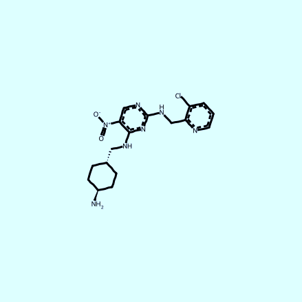 N[C@H]1CC[C@H](CNc2nc(NCc3ncccc3Cl)ncc2[N+](=O)[O-])CC1